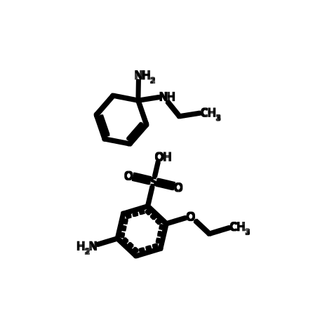 CCNC1(N)C=CC=CC1.CCOc1ccc(N)cc1S(=O)(=O)O